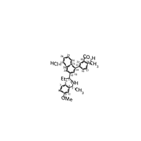 CCC(N[C@H](C)c1cccc(OC)c1)c1cc(-c2ccc(C)c(C(=O)O)c2)c2ccccc2c1.Cl